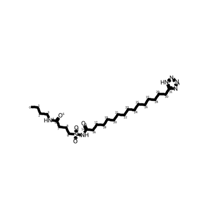 CCCCNC(=O)CCCS(=O)(=O)NC(=O)CCCCCCCCCCCCCCCc1nnn[nH]1